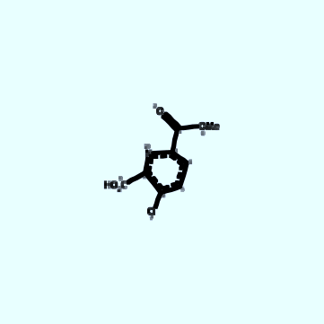 COC(=O)c1ccc(Cl)c(C(=O)O)n1